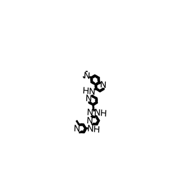 Cc1cc(Nc2ccc3[nH]c(-c4ccc(Nc5ccnc6ccc(N(C)C)cc56)nc4)nc3n2)ccn1